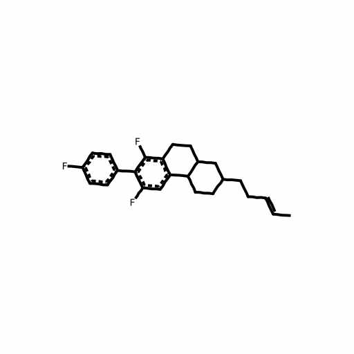 C/C=C/CCC1CCC2c3cc(F)c(-c4ccc(F)cc4)c(F)c3CCC2C1